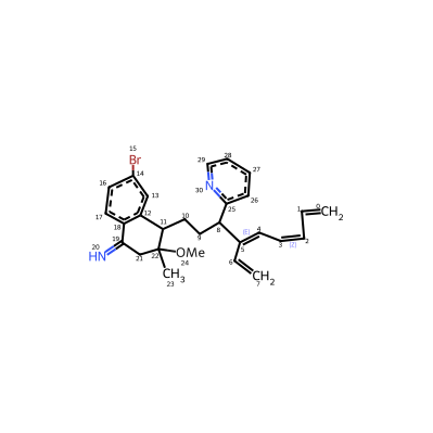 C=C/C=C\C=C(/C=C)C(CCC1c2cc(Br)ccc2C(=N)CC1(C)OC)c1ccccn1